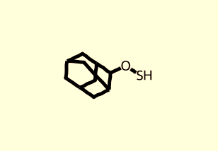 SOC1C2CC3CC(C2)CC1C3